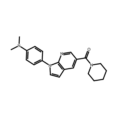 CN(C)c1ccc(-n2ccc3cc(C(=O)N4CCCCC4)cnc32)cc1